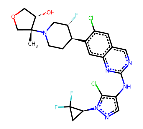 C[C@@]1(N2CC[C@H](c3cc4nc(Nc5cnn([C@H]6CC6(F)F)c5Cl)ncc4cc3Cl)[C@@H](F)C2)COC[C@@H]1O